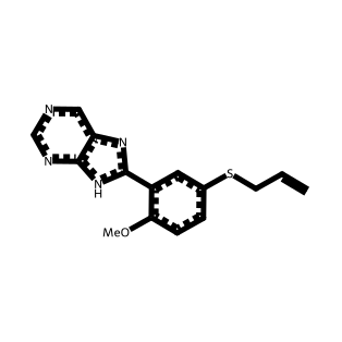 C=CCSc1ccc(OC)c(-c2nc3cncnc3[nH]2)c1